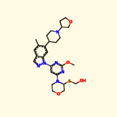 COc1nc(N2CCOCC2SCO)cc(-n2ncc3cc(C)c(C4CCN(C5CCOC5)CC4)cc32)n1